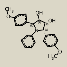 COc1ccc([C@H]2[C@@H](O)[C@H](O)[C@H](c3ccc(OC)cc3)N2c2ccccc2)cc1